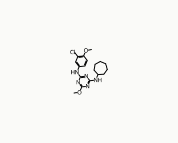 COc1nc(Nc2ccc(OC)c(Cl)c2)nc(NC2CCCCCC2)n1